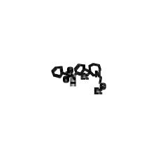 CCOCCN1CCCCC(CC)(c2cccc(NS(=O)(=O)c3ccccc3)c2)C1